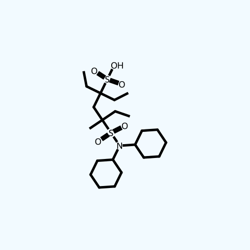 CCC(CC)(CC(C)(CC)S(=O)(=O)N(C1CCCCC1)C1CCCCC1)S(=O)(=O)O